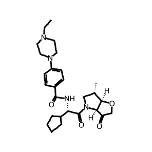 CCN1CCN(c2ccc(C(=O)N[C@H](C(=O)N3C[C@H](C)[C@H]4OCC(=O)[C@H]43)C3CCCC3)cc2)CC1